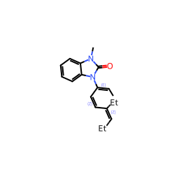 C\C=C(/C=C\C(=C/CC)CC)n1c(=O)n(C)c2ccccc21